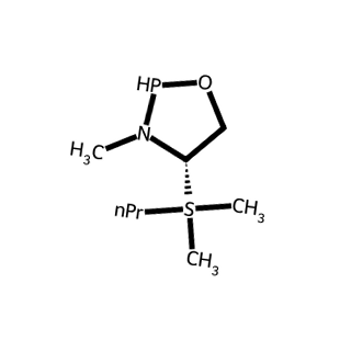 CCCS(C)(C)[C@H]1COPN1C